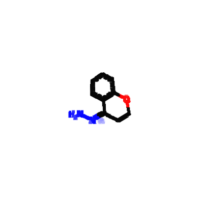 N/N=C1/CCOc2ccccc21